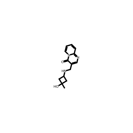 CC1(O)CC(NCc2cnc3ccccn3c2=O)C1